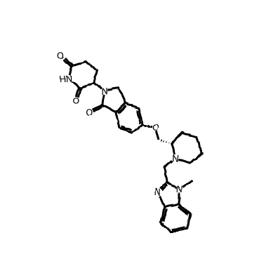 Cn1c(CN2CCCC[C@H]2COc2ccc3c(c2)CN(C2CCC(=O)NC2=O)C3=O)nc2ccccc21